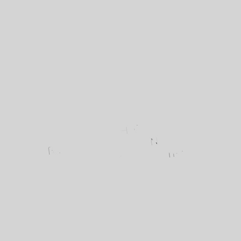 CCC[N+](C)(Cc1ccc(C(C)(C)C)cc1)c1cccc2ccccc12